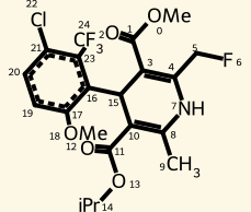 COC(=O)C1=C(CF)NC(C)=C(C(=O)OC(C)C)C1c1c(OC)ccc(Cl)c1C(F)(F)F